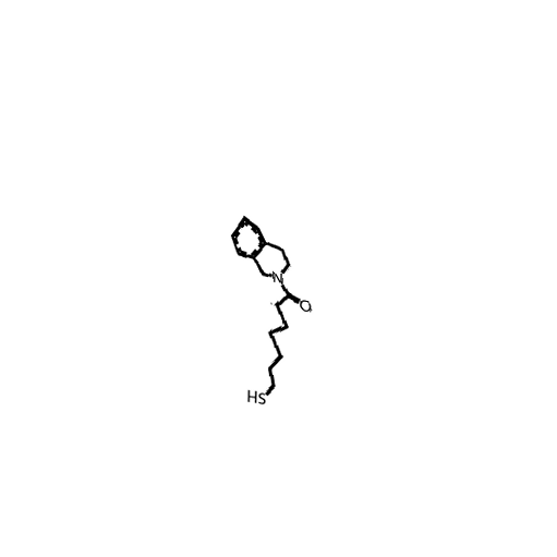 O=C([CH]CCCCCS)N1CCc2ccccc2C1